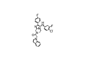 O=C(Cn1ccc2ccccc21)N1CCn2c(nc(-c3ccc(F)cc3)c2Nc2ccc(Cl)c(F)c2)C1